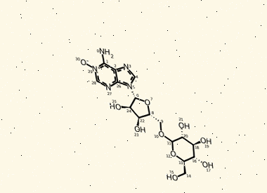 Nc1c2ncn([C@@H]3O[C@H](COC4O[C@H](CO)[C@@H](O)[C@H](O)[C@H]4O)[C@@H](O)[C@H]3O)c2nc[n+]1[O-]